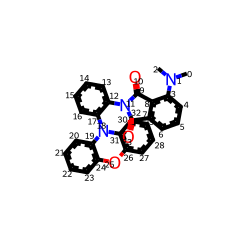 CN(C)c1cccc2c1C(=O)N(c1ccccc1N1c3ccccc3Oc3ccccc31)C2=O